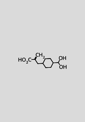 C=C(CC1CCC(C(O)O)CC1)C(=O)O